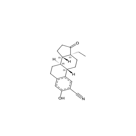 CC[C@]12CC[C@@H]3c4cc(C#N)c(O)cc4CC[C@H]3[C@@H]1CCC2=O